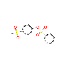 CS(=O)(=O)c1ccc(OS(=O)(=O)c2ccccc2)cc1